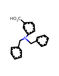 O=C(O)c1cccc(N(Cc2ccccc2)Cc2ccccc2)c1